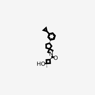 C[C@]1(O)C[C@@H](C(=O)N2CC3(CC[C@H](c4cccc(C5CC5)c4)C3)C2)C1